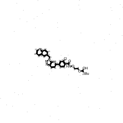 CC(C)(C)C(O)OCCONC(=O)c1ccc(-c2ccc3nnn(Cc4ccc5ncccc5c4)c3n2)cc1Cl